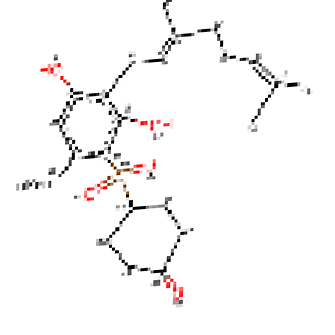 CCCCCc1cc(O)c(C/C=C(\C)CCC=C(C)C)c(O)c1S(=O)(=O)C1CCC(=O)CC1